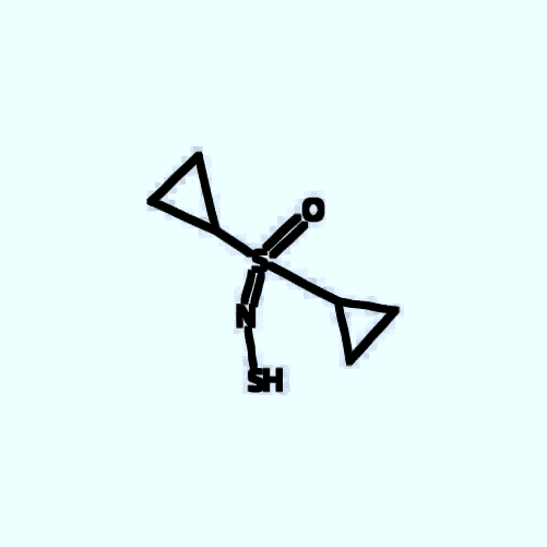 O=S(=NS)(C1CC1)C1CC1